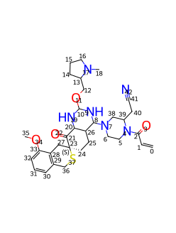 C=CC(=O)N1CCN(C2NC(OCC3CCCN3C)NC3C(=O)[C@]4(CCC32)Cc2c(cccc2OC)CS4)CC1CC#N